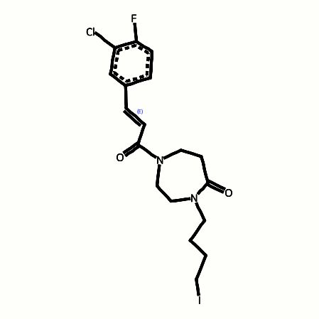 O=C(/C=C/c1ccc(F)c(Cl)c1)N1CCC(=O)N(CCCCI)CC1